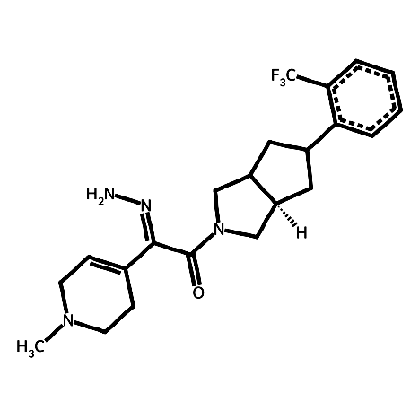 CN1CC=C(C(=NN)C(=O)N2CC3CC(c4ccccc4C(F)(F)F)C[C@H]3C2)CC1